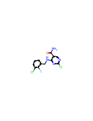 NC(=O)c1cnc(Cl)nc1NCc1cccc(Cl)c1F